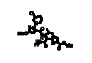 COc1cc(C(=O)Nc2c(C)cc3cn(C(=O)OC(C)(C)C)nc3c2C(=O)NC(C)C)n(N2C=CC=C(Cl)C2)n1